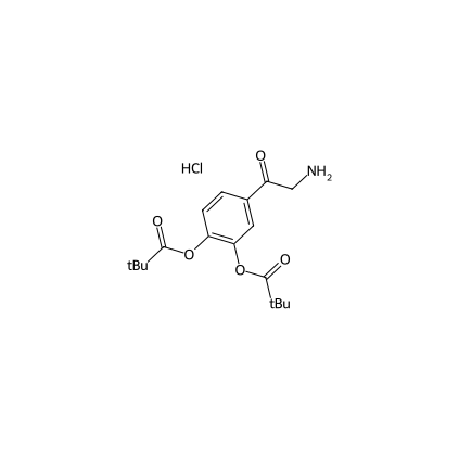 CC(C)(C)C(=O)Oc1ccc(C(=O)CN)cc1OC(=O)C(C)(C)C.Cl